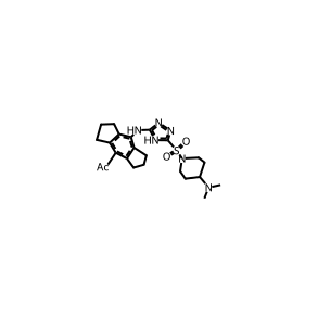 CC(=O)c1c2c(c(Nc3nnc(S(=O)(=O)N4CCC(N(C)C)CC4)[nH]3)c3c1CCC3)CCC2